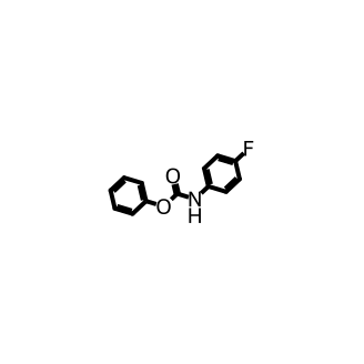 O=C(Nc1ccc(F)cc1)Oc1ccccc1